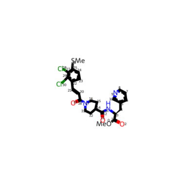 COC(=O)[C@H](Cc1cccnc1)NC(=O)C1CCN(C(=O)/C=C/c2ccc(SC)c(Cl)c2Cl)CC1